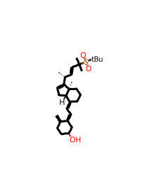 C=C1CC[C@H](O)C/C1=C/C=C1\CCC[C@]2(C)C([C@H](C)/C=C/C(C)(C)S(=O)(=O)C(C)(C)C)=CC[C@@H]12